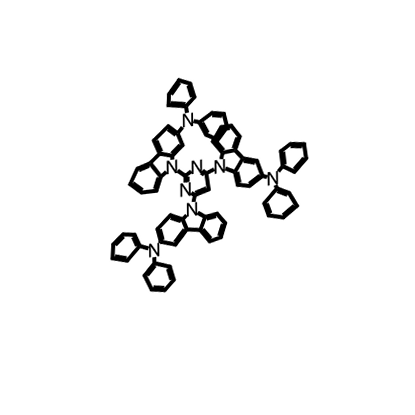 c1ccc(N(c2ccccc2)c2ccc3c(c2)c2ccccc2n3-c2cc(-n3c4ccccc4c4cc(N(c5ccccc5)c5ccccc5)ccc43)nc(-n3c4ccccc4c4ccc(N(c5ccccc5)c5ccccc5)cc43)n2)cc1